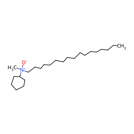 CCCCCCCCCCCCCCCCC[N+](C)([O-])C1CCCCC1